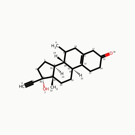 C#C[C@@]1(O)CC[C@H]2[C@@H]3C(C)CC4=C(CCC(=O)C4)[C@H]3CC[C@@]21C